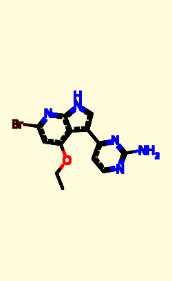 CCOc1cc(Br)nc2[nH]cc(-c3ccnc(N)n3)c12